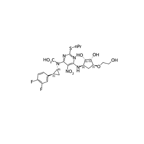 CCCSc1nc(N[C@@H]2C[C@H](OCCO)[C@@H](O)[C@H]2O)c([N+](=O)[O-])c(N(C(=O)O)[C@@H]2C[C@H]2c2ccc(F)c(F)c2)n1